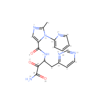 Cc1ncc(C(=O)NC(Cc2ccncn2)C(=O)C(N)=O)n1-c1ccccn1